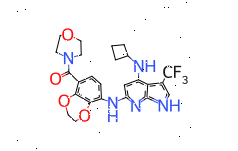 O=C(c1ccc(Nc2cc(NC3CCC3)c3c(C(F)(F)F)c[nH]c3n2)c2c1OCCO2)N1CCOCC1